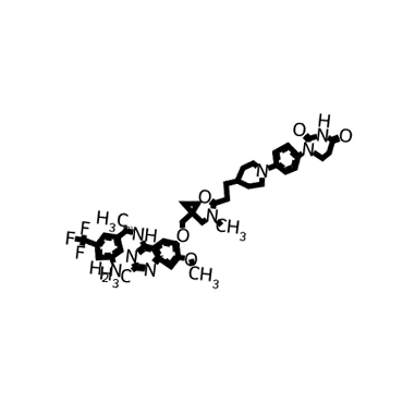 COc1cc2nc(C)nc(N[C@H](C)c3cc(N)cc(C(F)(F)F)c3)c2cc1OCC1(CN(C)C(=O)CCC2CCN(c3ccc(N4CCC(=O)NC4=O)cc3)CC2)CC1